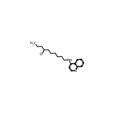 CCCC(Cl)CCCCCCNc1ccnc2ccccc12